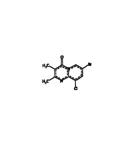 Cc1nc2c(Cl)cc(Br)cn2c(=O)c1C